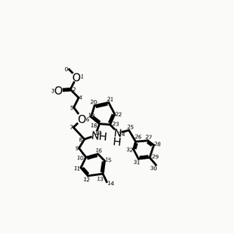 COC(=O)CCOCC(Cc1ccc(C)cc1)Nc1ccccc1NCc1ccc(C)cc1